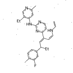 C=CN/C=C\C(=C/C(CC)c1ccc(C)c(F)c1)c1ccnc(Nc2cc(C)ncc2CC)n1